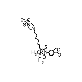 CCS(=O)(=O)N1CCN(CCCCCCCCN2C(=S)N(c3ccc4c(c3)COC4=O)C(=O)C2(C)C)CC1